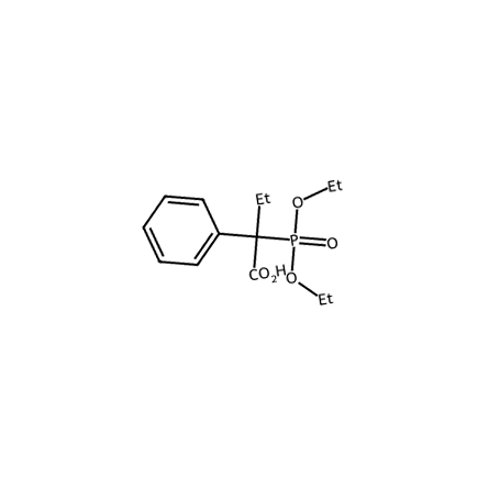 CCOP(=O)(OCC)C(CC)(C(=O)O)c1ccccc1